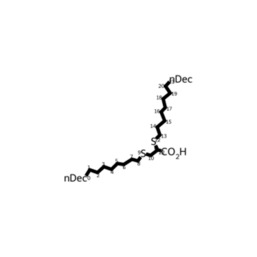 CCCCCCCCCCCCCCCCCCSCC(SCCCCCCCCCCCCCCCCCC)C(=O)O